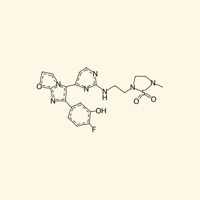 CN1CCN(CCNc2nccc(-c3c(-c4ccc(F)c(O)c4)nc4occn34)n2)S1(=O)=O